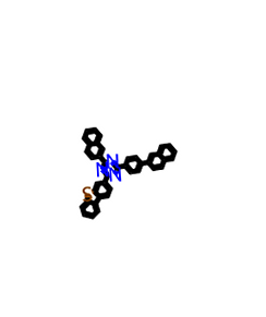 c1ccc2cc(-c3ccc(-c4nc(-c5ccc6ccccc6c5)nc(-c5ccc6c(c5)sc5ccccc56)n4)cc3)ccc2c1